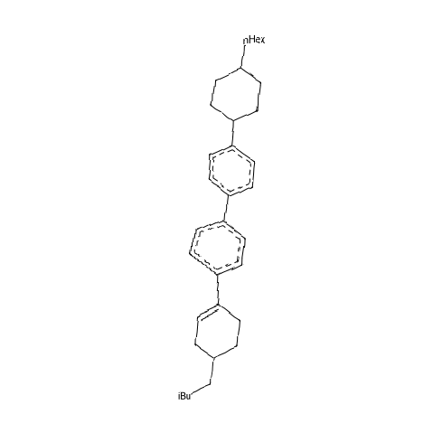 CCCCCCC1CCC(c2ccc(-c3ccc(C4=CCC(CC(C)CC)CC4)cc3)cc2)CC1